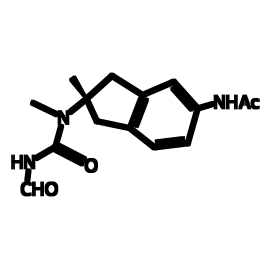 CC(=O)Nc1ccc2c(c1)C[C@@](C)(N(C)C(=O)NC=O)C2